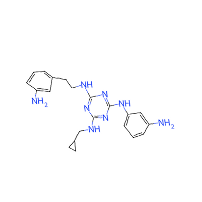 Nc1cccc(CCNc2nc(NCC3CC3)nc(Nc3cccc(N)c3)n2)c1